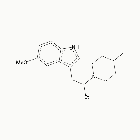 CCC(Cc1c[nH]c2ccc(OC)cc12)N1CCC(C)CC1